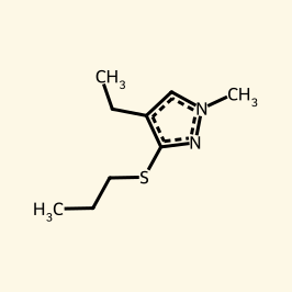 CCCSc1nn(C)cc1CC